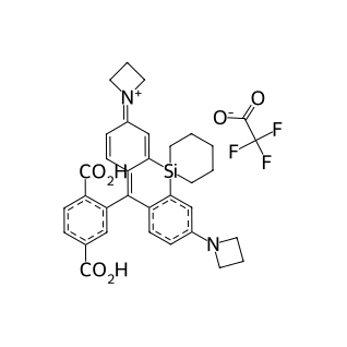 O=C(O)c1ccc(C(=O)O)c(C2=C3C=CC(=[N+]4CCC4)C=C3[Si]3(CCCCC3)c3cc(N4CCC4)ccc32)c1.O=C([O-])C(F)(F)F